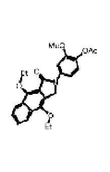 CCOc1c2c(c(OCC)c3ccccc13)C(=O)N(c1ccc(OC(C)=O)c(OC)c1)C2